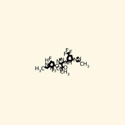 Cc1cn(-c2cc(Nc3ncnc(Oc4cc(F)c5[nH]c(C)cc5c4F)c3C(=O)N(C)C)cc(C(F)(F)F)c2)cn1